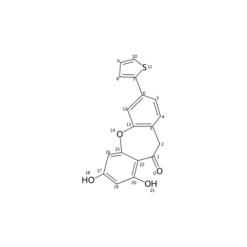 O=C1Cc2ccc(-c3cccs3)cc2Oc2cc(O)cc(O)c21